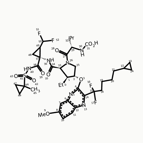 CC[C@@H]1[C@@H](Oc2nc3cc(OC)ccc3nc2C(F)(F)CCCCC2CC2)CN(C(=O)[C@@H](NC(=O)O)C(C)C)[C@@H]1C(=O)N[C@]1(C(=O)NS(=O)(=O)C2(C)CC2)CC1C(F)F